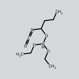 CCCC(N=C=O)O[SiH](OCC)OCC